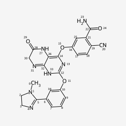 CN1CCN=C1c1cccc(OC2=NC(Oc3ccc(C#N)c(C(N)=O)c3)=C3NC(=O)CN=C3N2)c1